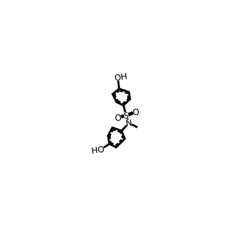 CN(c1ccc(O)cc1)S(=O)(=O)c1ccc(O)cc1